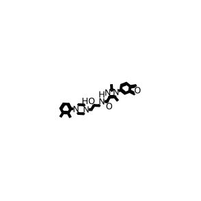 Cc1cccc(N2CCN(CC(O)CNC(=O)c3nc(C)n(-c4ccc5cocc5c4)c3C)CC2)c1C